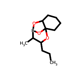 CCCC1OC23CCCCC2OB(O3)C1C